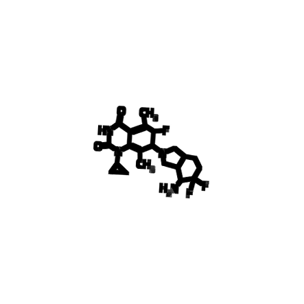 CC1=c2c(=O)[nH]c(=O)n(C3CC3)c2=C(C)C(N2CC3CCC(F)(F)C(N)C3C2)C1F